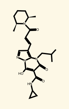 CC(C)Cn1c(=O)c(C(=O)NC2CC2)c(O)n2ncc(/C=C/C(=O)N3[C@H](C)CCC[C@@H]3C)c12